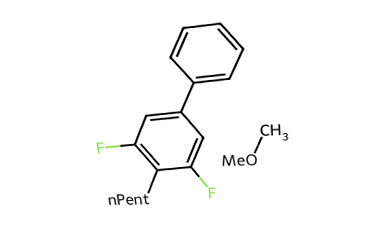 CCCCCc1c(F)cc(-c2ccccc2)cc1F.COC